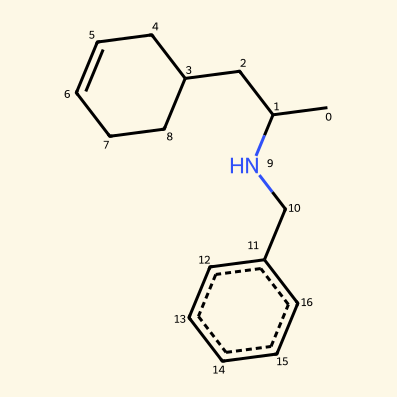 CC(CC1CC=CCC1)NCc1ccccc1